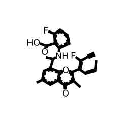 C#C/C(F)=C(\C=C/C)c1oc2c(C(C)Nc3cccc(F)c3C(=O)O)cc(C)cc2c(=O)c1C